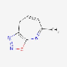 CC1=Nc2onnc2CC=C1